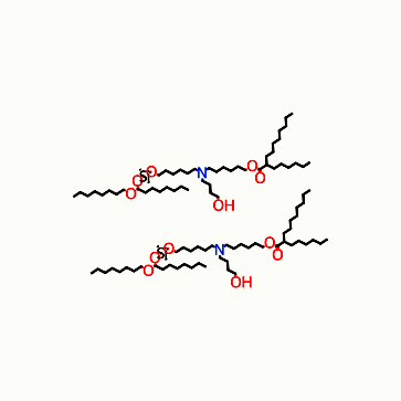 CCCCCCCCOC(CCCCCCC)O[Si](C)(C)OCCCCCCN(CCCCO)CCCCCCOC(=O)C(CCCCCC)CCCCCCCC.CCCCCCCCOC(CCCCCCC)O[Si](C)(C)OCCCCCCN(CCCCO)CCCCCCOC(=O)C(CCCCCC)CCCCCCCC